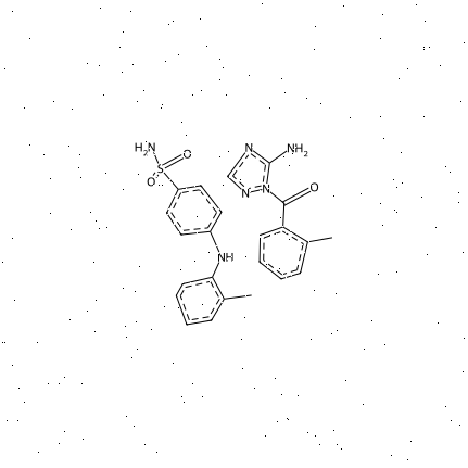 Cc1ccccc1C(=O)n1ncnc1N.Cc1ccccc1Nc1ccc(S(N)(=O)=O)cc1